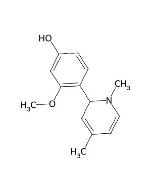 COc1cc(O)ccc1C1C=C(C)C=CN1C